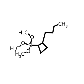 CCCCC1CCC1[Si](OC)(OC)OC